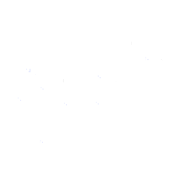 C[C@@H](Nc1nc(N)ncc1-c1cscn1)c1nc2cccc(-c3ccc(=O)n(C)c3)c2c(=O)n1-c1ccccc1